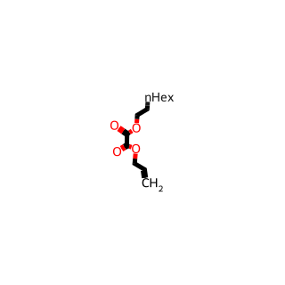 C=CCOC(=O)C(=O)OCCCCCCCC